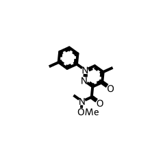 CON(C)C(=O)c1nn(-c2cccc(C)c2)cc(C)c1=O